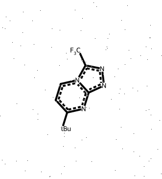 CC(C)(C)c1ccn2c(C(F)(F)F)nnc2n1